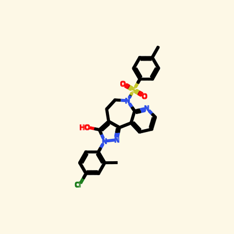 Cc1ccc(S(=O)(=O)N2CCc3c(nn(-c4ccc(Cl)cc4C)c3O)-c3cccnc32)cc1